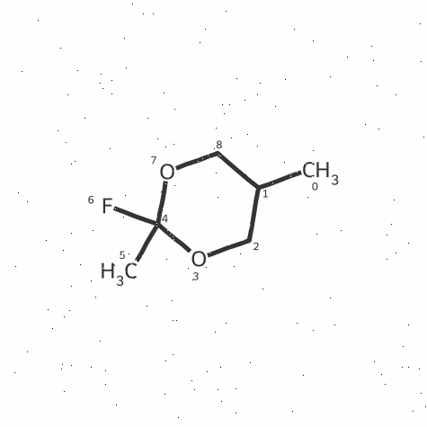 CC1COC(C)(F)OC1